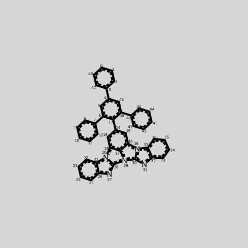 c1ccc(-c2cc(-c3ccccc3)c(-c3cc4c5c(c3)n3c6ccccc6nc3n5c3nc5ccccc5n43)c(-c3ccccc3)c2)cc1